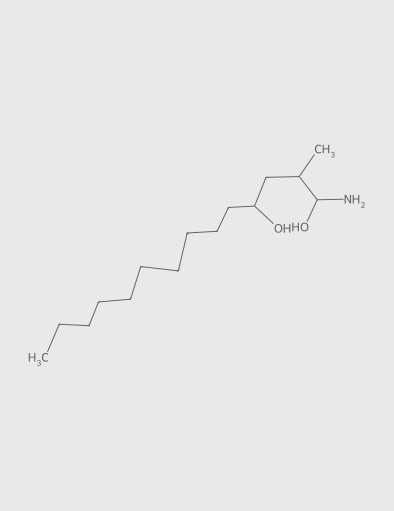 CCCCCCCCCCC(O)CC(C)C(N)O